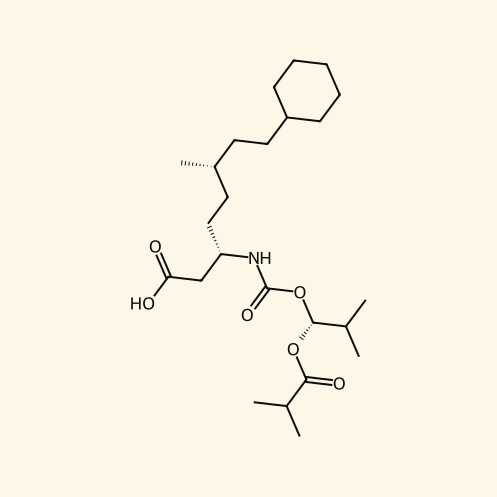 CC(C)C(=O)O[C@H](OC(=O)N[C@@H](CC[C@H](C)CCC1CCCCC1)CC(=O)O)C(C)C